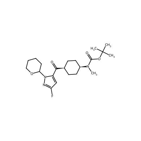 CN(C(=O)OC(C)(C)C)[C@H]1CC[C@@H](C(=O)c2cc(F)nn2C2CCCCO2)CC1